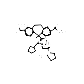 CNC(=O)c1ccc2c(c1)CCc1cc(C(=O)NC)ccc1C2(C[C@H](NCC(=O)N1CCC[C@H]1C#N)C1CCCC1)c1nnn[nH]1